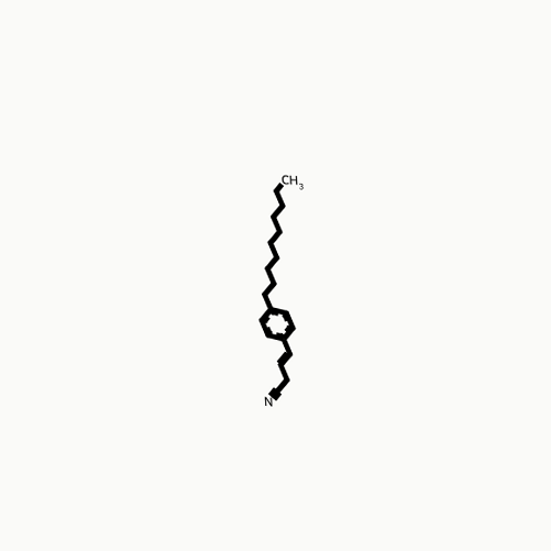 CCCCCCCCCCc1ccc(/C=C/CC#N)cc1